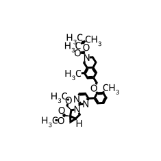 COC[C@H]1N(c2nccc(-c3cccc(C)c3OCc3cc(C)c4c(c3)CCN(C(=O)OC(C)(C)C)C4)n2)C[C@@H]2C[C@@]21C(=O)OC